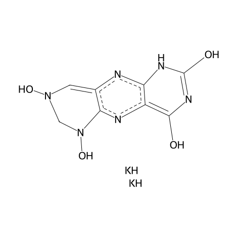 OC1=NC(O)=c2nc3c(nc2N1)=CN(O)CN3O.[KH].[KH]